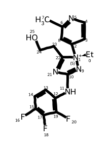 CC[N@@+]1(c2ccnc(C)c2)N=C(Nc2ccc(F)c(F)c2F)N=C1CCO